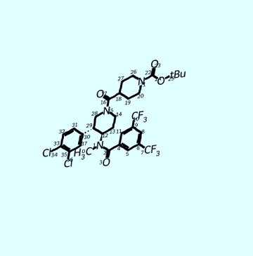 CN(C(=O)c1cc(C(F)(F)F)cc(C(F)(F)F)c1)[C@@H]1CCN(C(=O)C2CCN(C(=O)OC(C)(C)C)CC2)C[C@H]1c1ccc(Cl)c(Cl)c1